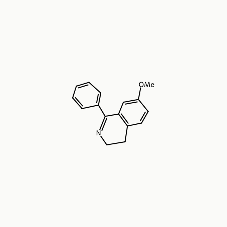 COc1ccc2c(c1)C(c1ccccc1)=NCC2